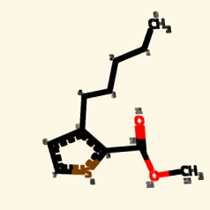 CCCCCc1ccsc1C(=O)OC